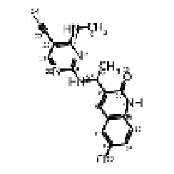 CNc1nc(N[C@@H](C)c2cc3cc(Cl)ccc3[nH]c2=O)ncc1C#N